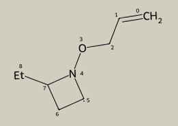 C=CCON1[CH]CC1CC